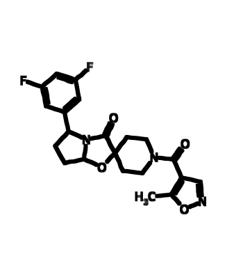 Cc1oncc1C(=O)N1CCC2(CC1)OC1CCC(c3cc(F)cc(F)c3)N1C2=O